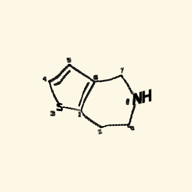 [C]1Cc2sccc2CN1